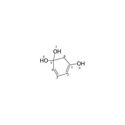 OC1=CC=CC(O)(O)C1